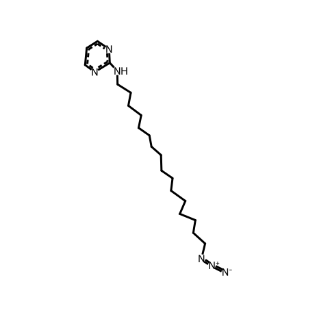 [N-]=[N+]=NCCCCCCCCCCCCCCCCNc1ncccn1